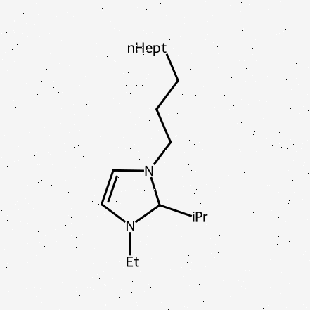 CCCCCCCCCCN1C=CN(CC)C1C(C)C